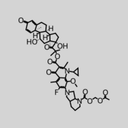 COc1c(N2CC3CCCN(C(=O)OCOC(C)=O)C3C2)c(F)c(C)c2c(=O)c(C(=O)OC(C)(C)C(=O)[C@@]3(O)CC[C@H]4[C@@H]5CCC6=CC(=O)C=C[C@]6(C)[C@H]5[C@@H](O)C[C@@]43C)c(C)n(C3CC3)c12